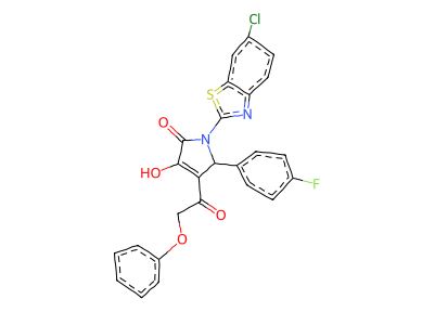 O=C(COc1ccccc1)C1=C(O)C(=O)N(c2nc3ccc(Cl)cc3s2)C1c1ccc(F)cc1